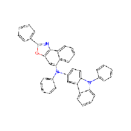 c1ccc(-c2nc3c(cc(N(c4ccccc4)c4ccc5c(c4)c4ccccc4n5-c4ccccc4)c4ccccc43)o2)cc1